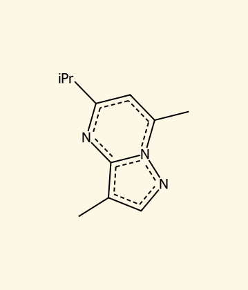 Cc1cnn2c(C)cc(C(C)C)nc12